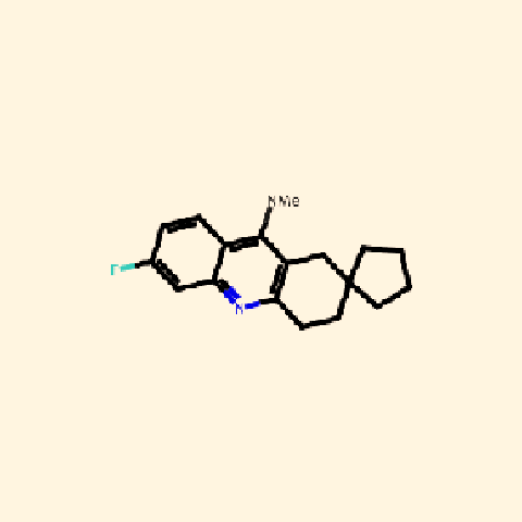 CNc1c2c(nc3cc(F)ccc13)CCC1(CCCC1)C2